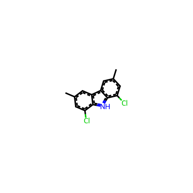 Cc1cc(Cl)c2[nH]c3c(Cl)cc(C)cc3c2c1